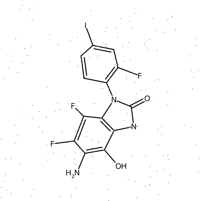 Nc1c(O)c2c(c(F)c1F)N(c1ccc(I)cc1F)C(=O)[N]2